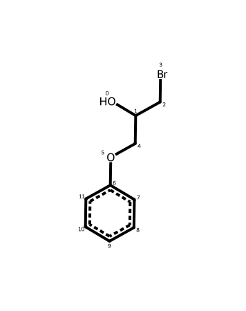 OC(CBr)COc1ccccc1